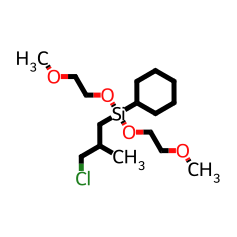 COCCO[Si](CC(C)CCl)(OCCOC)C1CCCCC1